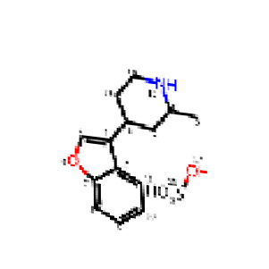 CC1CC(c2coc3ccccc23)CCN1.O=S(=O)(O)O